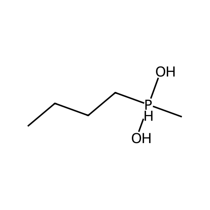 CCCC[PH](C)(O)O